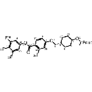 CCCCCO[C@H]1CC[C@H](COc2ccc(C(=O)Oc3cc(F)c(F)c(F)c3)c(F)c2)CC1